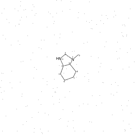 CN1[CH]NC2CCCCC21